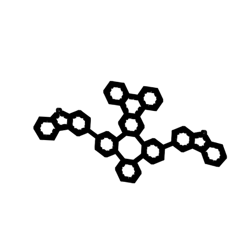 c1ccc2c(c1)-c1ccc(-c3ccc4oc5ccccc5c4c3)cc1-c1cc3c4ccccc4c4ccccc4c3cc1-c1cc(-c3ccc4oc5ccccc5c4c3)ccc1-2